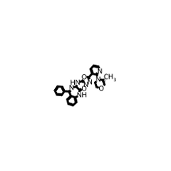 C[C@@H]1COCCN1c1ncccc1-c1nnc(NC2N=C(c3ccccc3)c3ccccc3NC2=O)o1